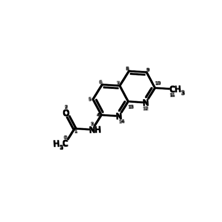 CC(=O)Nc1ccc2ccc(C)nc2n1